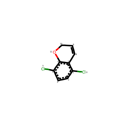 Clc1ccc(Cl)c2c1C=CCO2